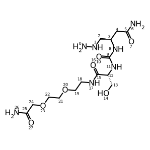 NNC[C@@H](CC(N)=O)NC(=O)N[C@H](CO)C(=O)NCCOCCOCC(N)=O